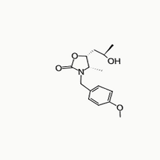 COc1ccc(CN2C(=O)O[C@H](C[C@@H](C)O)[C@@H]2C)cc1